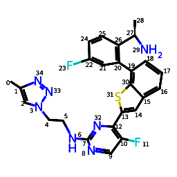 Cc1cn(CCNc2ncc(F)c(-c3cc4cccc(-c5cc(F)ccc5[C@@H](C)N)c4s3)n2)nn1